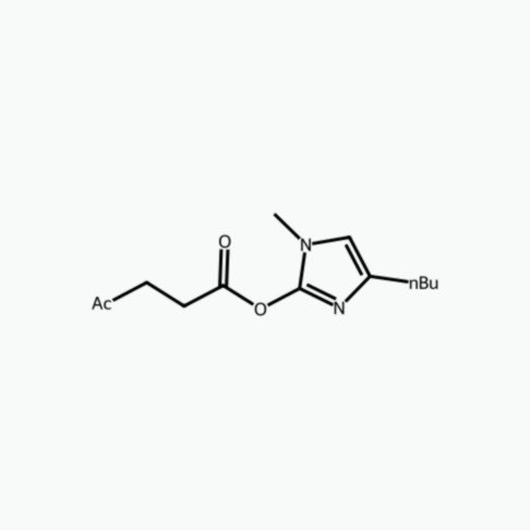 CCCCc1cn(C)c(OC(=O)CCC(C)=O)n1